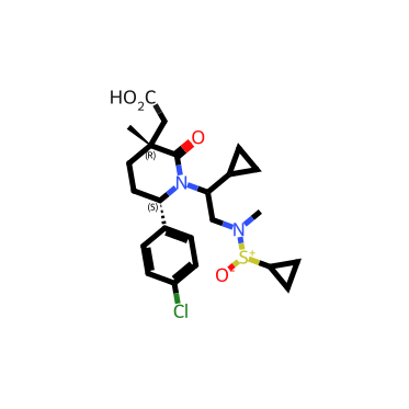 CN(CC(C1CC1)N1C(=O)[C@@](C)(CC(=O)O)CC[C@H]1c1ccc(Cl)cc1)[S+]([O-])C1CC1